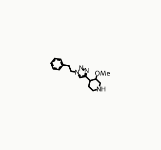 COC1CNCCC1c1cn(CCc2ccccc2)nn1